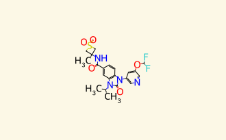 CC(C)n1c(=O)n(-c2cncc(OC(F)F)c2)c2ccc(C(=O)NC3(C)CS(=O)(=O)C3)cc21